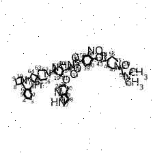 CC(C)c1ccccc1C1CCCN1C1CC2(CCN(c3cc(Oc4cnc5[nH]ccc5c4)c(C(=O)NS(=O)(=O)c4ccc(OCC5(F)CCN(C(=O)CN(C)C)CC5)c([N+](=O)[O-])c4)cn3)CC2)C1